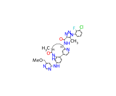 COCc1cc(Nc2ccc3c(c2)NC(=O)[C@H](C)CCC[C@H](NC(=O)c2nnn(-c4cccc(Cl)c4F)c2C)c2cc-3ccn2)ncn1